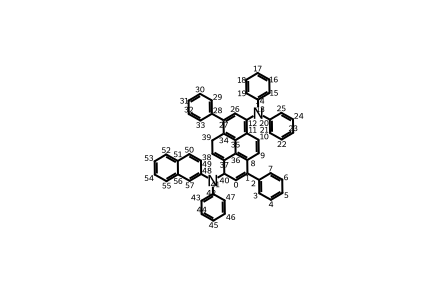 C1=C(c2ccccc2)c2ccc3c(N(c4ccccc4)c4ccccc4)cc(-c4ccccc4)c4c3c2C(=CC4)C1N(c1ccccc1)c1ccc2ccccc2c1